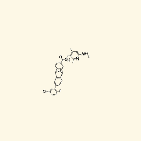 Cc1cc(N)nc(C)c1CNC(=O)c1ccc2c(c1)C1OC2c2cc(-c3cc(Cl)ccc3F)ccc21